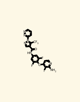 Nc1nccc(Oc2c(F)cc(NC(=O)c3cnn(-c4cccnn4)c3C(F)(F)F)cc2F)c1I